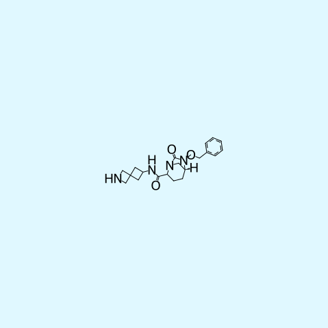 O=C(NC1CC2(CNC2)C1)C1CC[C@@H]2CN1C(=O)N2OCc1ccccc1